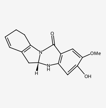 COc1cc2c(cc1O)N[C@@H]1CC3=C(CCC=C3)N1C2=O